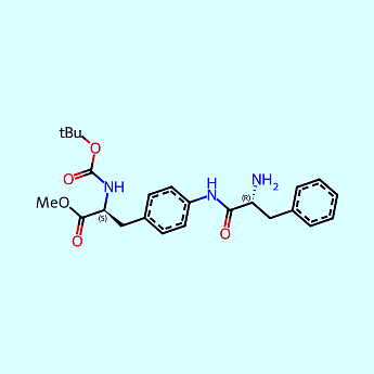 COC(=O)[C@H](Cc1ccc(NC(=O)[C@H](N)Cc2ccccc2)cc1)NC(=O)OC(C)(C)C